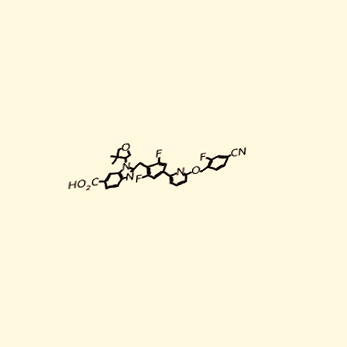 CC1(C)COCC1n1c(Cc2c(F)cc(-c3cccc(OCc4ccc(C#N)cc4F)n3)cc2F)nc2ccc(C(=O)O)cc21